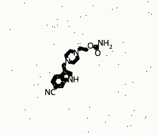 N#Cc1ccc2c(CN3CCN(CCOC(N)=O)CC3)c[nH]c2c1